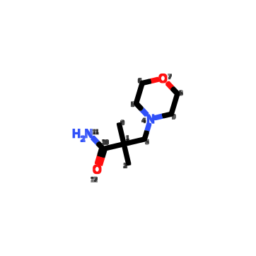 CC(C)(CN1CCOCC1)C(N)=O